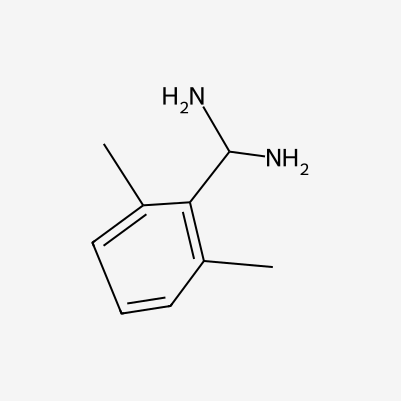 Cc1cccc(C)c1C(N)N